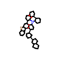 c1ccc(-c2ccccc2N(c2ccc(-c3cccc(-c4ccc5ccccc5c4)c3)cc2)c2ccccc2-c2ccc3c(c2)sc2ccccc23)cc1